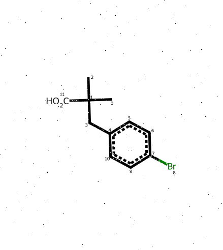 CC(C)(Cc1ccc(Br)cc1)C(=O)O